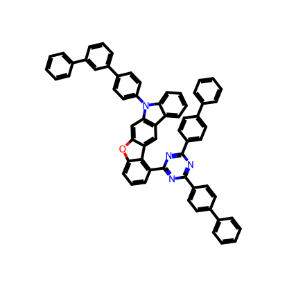 c1ccc(-c2ccc(-c3nc(-c4ccc(-c5ccccc5)cc4)nc(-c4cccc5oc6cc7c(cc6c45)c4ccccc4n7-c4ccc(-c5cccc(-c6ccccc6)c5)cc4)n3)cc2)cc1